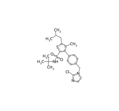 Cc1c(CC(C)C)sc(S(=O)(=O)NC(C)(C)C)c1-c1ccc(Cn2ccnc2Cl)cc1